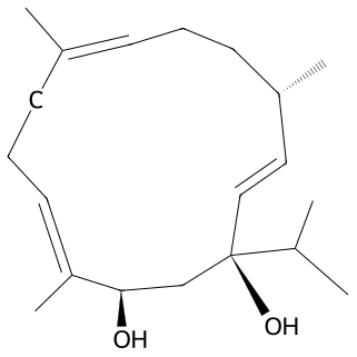 C/C1=C\CC[C@H](C)/C=C/[C@](O)(C(C)C)C[C@@H](O)/C(C)=C/CC1